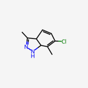 CC1=NNC2C(C)=C(Cl)C=CC12